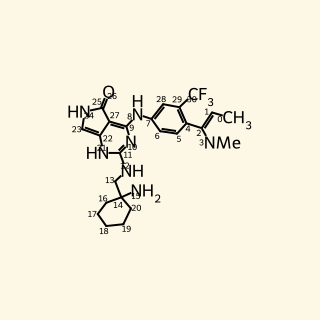 CC=C(NC)c1ccc(Nc2nc(NCC3(N)CCCCC3)[nH]c3c[nH]c(=O)c2-3)cc1C(F)(F)F